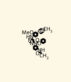 C=CC(=O)Nc1cccc(N(C(=O)Oc2ccccc2)c2cc(Nc3ccc(N4CCN(C)CC4)cc3OC)ncn2)c1